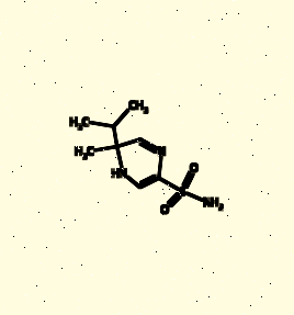 CC(C)C1(C)C=NC(S(N)(=O)=O)=CN1